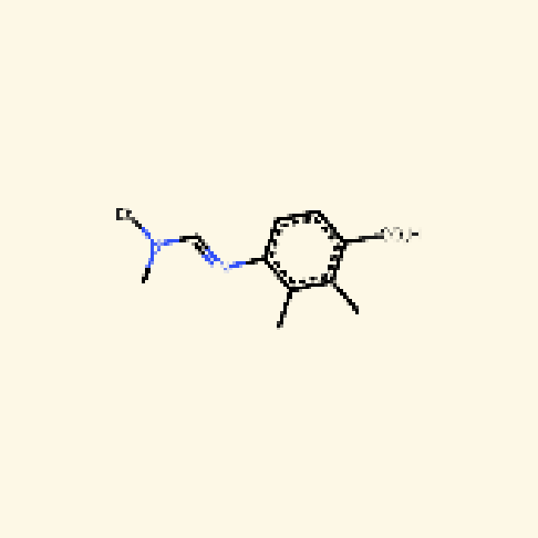 CCN(C)C=Nc1ccc(C(=O)O)c(C)c1C